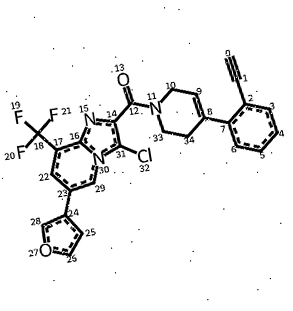 C#Cc1ccccc1C1=CCN(C(=O)c2nc3c(C(F)(F)F)cc(-c4ccoc4)cn3c2Cl)CC1